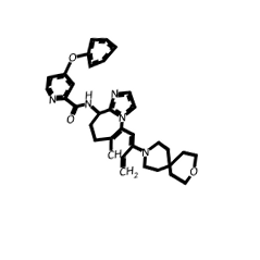 C=C/C(=C\C1=C(C)CCC(NC(=O)c2cc(Oc3ccccc3)ccn2)c2nccn21)N1CCC2(CCOCC2)CC1